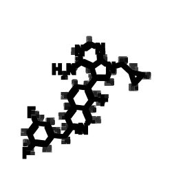 Nc1ncnc2c1c(-c1ccc3cc(Cc4cc(F)cc(F)c4)ncc3c1F)cn2CC1CC1